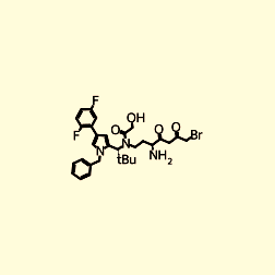 CC(C)(C)[C@H](c1cc(-c2cc(F)ccc2F)cn1Cc1ccccc1)N(CC[C@H](N)C(=O)CC(=O)CBr)C(=O)CO